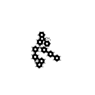 CC1(c2ccccc2)c2ccccc2-c2ccc(N(c3ccc(-c4ccc(-c5ccccc5)cc4)cc3)c3cccc(-c4ccc5c(c4)-c4cccc6cccc(c46)S5)c3)cc21